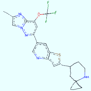 Cc1cn2nc(-c3cnc4cc(C5CCNC6(CC6)C5)sc4c3)cc(OC(F)(F)F)c2n1